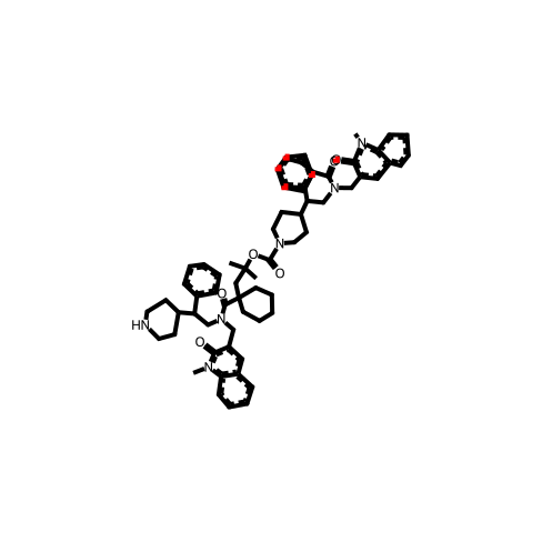 Cn1c(=O)c(CN(CC(c2ccccc2)C2CCN(C(=O)OC(C)(C)CC3(C(=O)N(Cc4cc5ccccc5n(C)c4=O)CC(c4ccccc4)C4CCNCC4)CCCCC3)CC2)C(=O)C2CCCCC2)cc2ccccc21